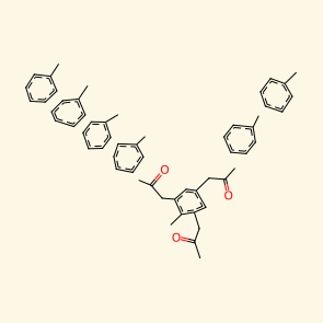 CC(=O)Cc1cc(CC(C)=O)c(C)c(CC(C)=O)c1.Cc1ccccc1.Cc1ccccc1.Cc1ccccc1.Cc1ccccc1.Cc1ccccc1.Cc1ccccc1